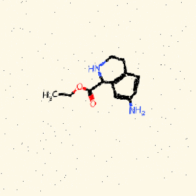 CCOC(=O)C1NCCc2ccc(N)cc21